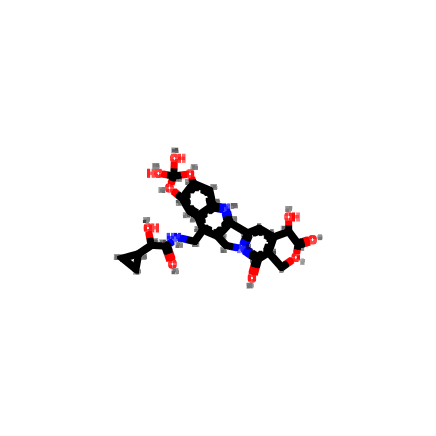 O=C1OCc2c(cc3n(c2=O)Cc2c-3nc3cc4c(cc3c2CNC(=O)C(O)C2CC2)OC(O)(O)O4)C1O